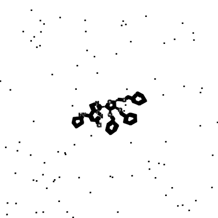 Clc1cc(NC2CCCC2)c2cnc([C@@H]3O[C@H](COCc4ccccc4)[C@@H](OCc4ccccc4)[C@H]3OCc3ccccc3)n2n1